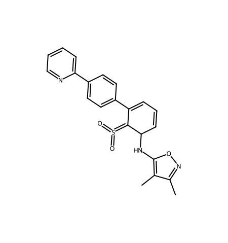 Cc1noc(NC2C=CC=C(c3ccc(-c4ccccn4)cc3)C2=S(=O)=O)c1C